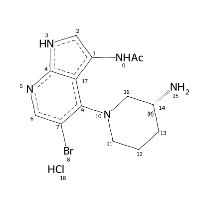 CC(=O)Nc1c[nH]c2ncc(Br)c(N3CCC[C@@H](N)C3)c12.Cl